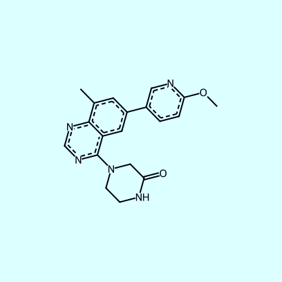 COc1ccc(-c2cc(C)c3ncnc(N4CCNC(=O)C4)c3c2)cn1